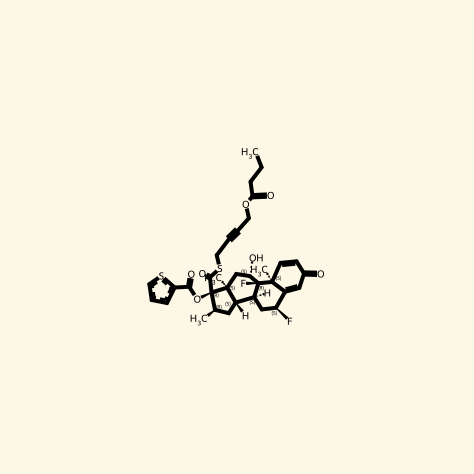 CCCC(=O)OCC#CCSC(=O)[C@@]1(OC(=O)c2cccs2)[C@H](C)C[C@H]2[C@@H]3C[C@H](F)C4=CC(=O)C=C[C@]4(C)[C@@]3(F)[C@@H](O)C[C@@]21C